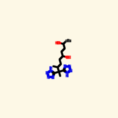 CCCCC(O)CCC(O)CCC(C)C(C)(c1nnn[nH]1)c1nnn[nH]1